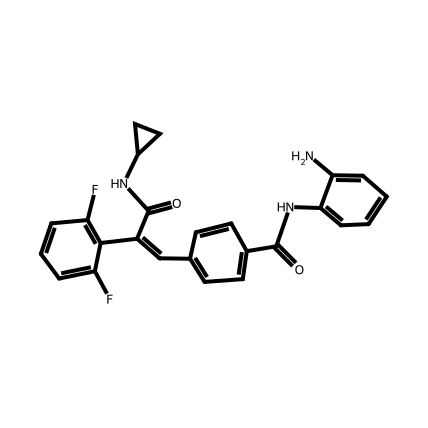 Nc1ccccc1NC(=O)c1ccc(C=C(C(=O)NC2CC2)c2c(F)cccc2F)cc1